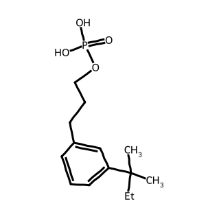 CCC(C)(C)c1cccc(CCCOP(=O)(O)O)c1